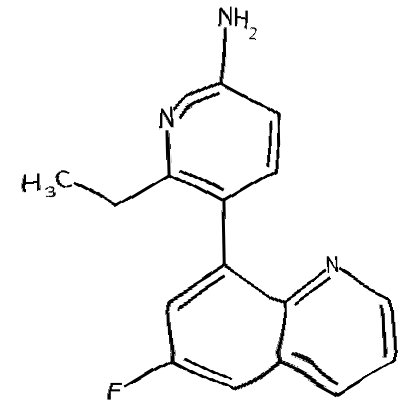 CCc1nc(N)ccc1-c1cc(F)cc2cccnc12